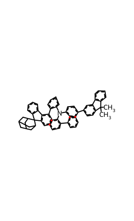 CC1(C)c2ccccc2-c2cc(-c3ccc(N(c4ccccc4-c4ccccc4)c4ccccc4-c4cccc5c4-c4ccccc4C54C5CC6CC(C5)CC4C6)cc3)ccc21